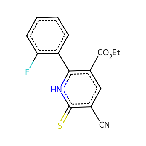 CCOC(=O)c1cc(C#N)c(=S)[nH]c1-c1ccccc1F